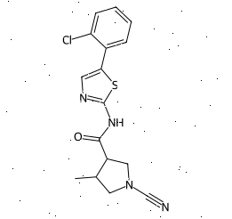 CC1CN(C#N)CC1C(=O)Nc1ncc(-c2ccccc2Cl)s1